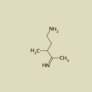 CC(=N)C(C)CCN